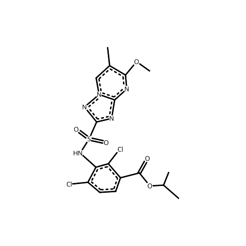 COc1nc2nc(S(=O)(=O)Nc3c(Cl)ccc(C(=O)OC(C)C)c3Cl)nn2cc1C